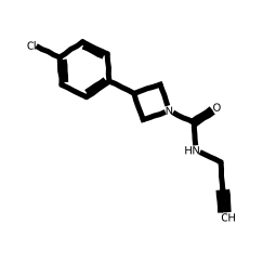 C#CCNC(=O)N1CC(c2ccc(Cl)cc2)C1